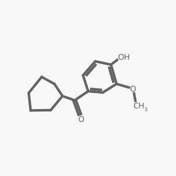 COc1cc(C(=O)C2CCCCC2)ccc1O